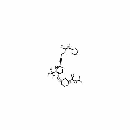 CC(C)OC(=O)[C@H]1CCC[C@H](Oc2ccc(C#CCCC(=O)N(C)C3CCCC3)nc2C(F)(F)F)C1